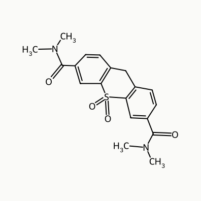 CN(C)C(=O)c1ccc2c(c1)S(=O)(=O)c1cc(C(=O)N(C)C)ccc1C2